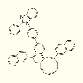 C=CC/C=C\C(=C/C(=C)/C=C\C)c1ccccccc2cc(-c3ccc4ccccc4c3)c3cc(-c4ccc(-n5c(-c6ccccc6)nc6c5C=CCC6)cc4)ccc3c2c1